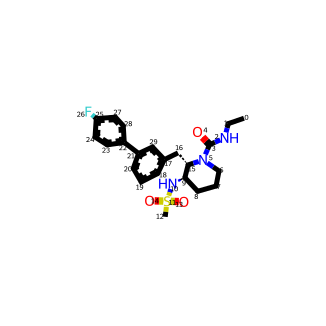 CCNC(=O)N1CCC[C@H](NS(C)(=O)=O)[C@@H]1Cc1cccc(-c2ccc(F)cc2)c1